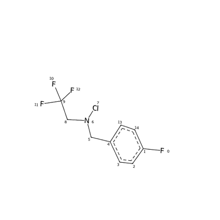 Fc1ccc(CN(Cl)CC(F)(F)F)cc1